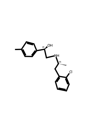 Cc1ccc([C@@H](O)CN[C@H](C)Cc2ccccc2Cl)cc1